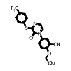 CC(C)(C)COc1ccc(-n2ccnc(Sc3ccc(C(F)(F)F)cc3)c2=O)cc1C#N